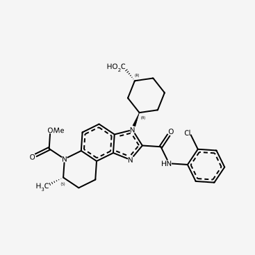 COC(=O)N1c2ccc3c(nc(C(=O)Nc4ccccc4Cl)n3[C@@H]3CCC[C@@H](C(=O)O)C3)c2CC[C@@H]1C